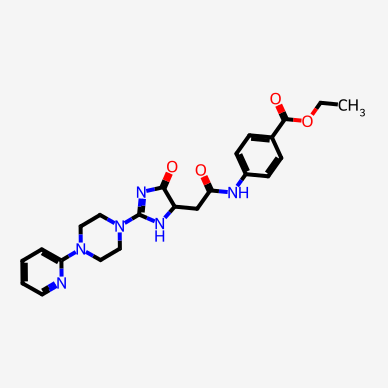 CCOC(=O)c1ccc(NC(=O)CC2NC(N3CCN(c4ccccn4)CC3)=NC2=O)cc1